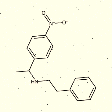 CC(NCCc1ccccc1)c1ccc([N+](=O)[O-])cc1